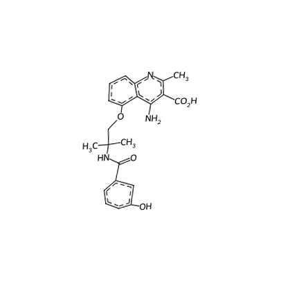 Cc1nc2cccc(OCC(C)(C)NC(=O)c3cccc(O)c3)c2c(N)c1C(=O)O